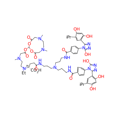 CCN(CCN(C)CC(=O)OC1OC(=O)CN(C)CCN(C)CC(=O)O1)[C@H](CCC(=O)NCCCN(CCCNC(=O)c1ccc(-n2c(O)nnc2-c2cc(C(C)C)c(O)cc2O)cc1)CCCNC(=O)c1ccc(-n2c(O)nnc2-c2cc(C(C)C)c(O)cc2O)cc1)C(=O)O